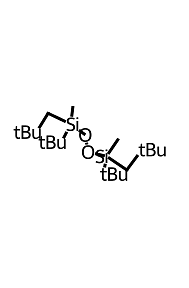 CC(C)(C)C[Si](C)(OO[Si](C)(CC(C)(C)C)C(C)(C)C)C(C)(C)C